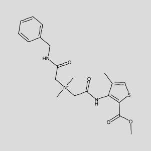 COC(=O)c1scc(C)c1NC(=O)C[N+](C)(C)CC(=O)NCc1ccccc1